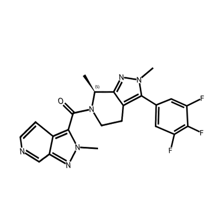 C[C@H]1c2nn(C)c(-c3cc(F)c(F)c(F)c3)c2CCN1C(=O)c1c2ccncc2nn1C